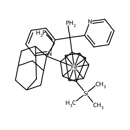 C[Si](C)(C)[C]12[CH]3[C]4(C(P)(c5ccccn5)c5ccccn5)[C]5(C6(CP)C7CC8CC(C7)CC6C8)[CH]1[Fe]34521678[CH]2[CH]1[CH]6[CH]7[CH]28